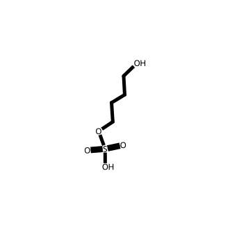 O=S(=O)(O)OCCCCO